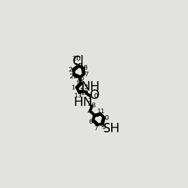 O=C(NCCc1ccc(S)cc1)c1ccc(-c2ccc(Cl)cc2)[nH]1